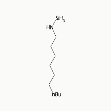 CCCCCCCCCCN[SiH3]